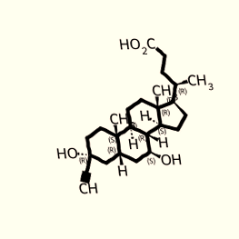 C#C[C@@]1(O)CC[C@@]2(C)[C@H](C[C@H](O)[C@@H]3[C@@H]2CC[C@]2(C)[C@@H]([C@H](C)CCC(=O)O)CC[C@@H]32)C1